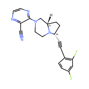 N#Cc1nccnc1N1CCN2[C@@H](CC[C@@H]2C#Cc2ccc(F)cc2F)C1